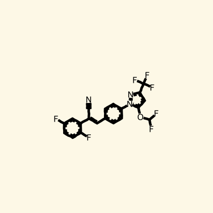 N#CC(=Cc1ccc(-n2nc(C(F)(F)F)cc2OC(F)F)cc1)c1cc(F)ccc1F